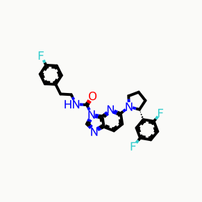 O=C(NCCc1ccc(F)cc1)n1cnc2ccc(N3CCC[C@@H]3c3cc(F)ccc3F)nc21